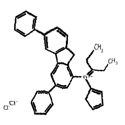 CC[C](CC)=[Ti+2]([C]1=CC=CC1)[c]1cc(-c2ccccc2)cc2c1Cc1ccc(-c3ccccc3)cc1-2.[Cl-].[Cl-]